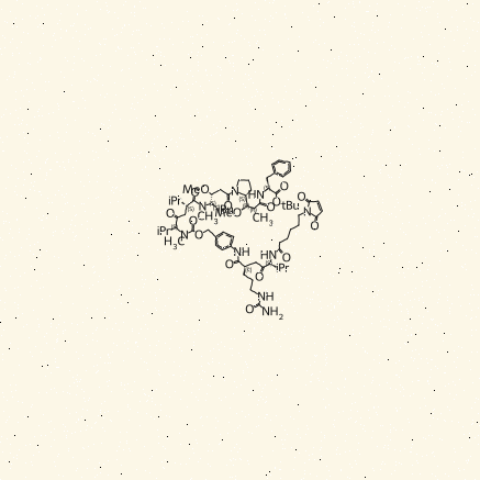 CC[C@H](C)[C@@H](C(CC(=O)N1CCC[C@H]1[C@H](OC)[C@@H](C)C(=O)N[C@@H](Cc1ccccc1)C(=O)OC(C)(C)C)OC)N(C)C(=O)[C@@H](CC(=O)[C@H](C(C)C)N(C)C(=O)OCc1ccc(NC(=O)[C@H](CCCNC(N)=O)CC(=O)[C@@H](NC(=O)CCCCCN2C(=O)C=CC2=O)C(C)C)cc1)C(C)C